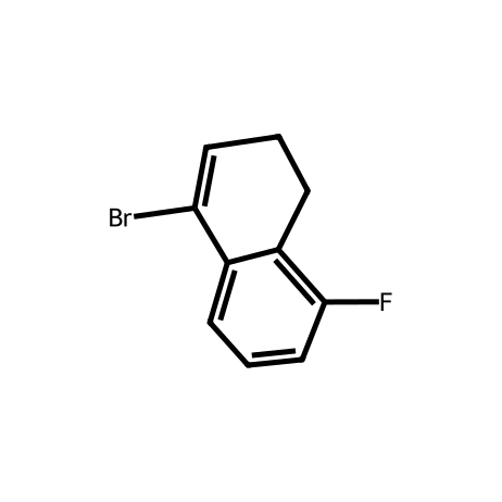 Fc1cccc2c1CCC=C2Br